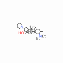 CCN(CC)C1C[C@@]2(C)C(CC[C@@H]3[C@H]2CC[C@]2(C)C(O)C(N4CCCCC4)C[C@@H]32)CC1C